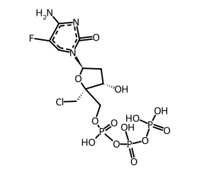 Nc1nc(=O)n([C@H]2C[C@H](O)[C@@](CCl)(COP(=O)(O)OP(=O)(O)OP(=O)(O)O)O2)cc1F